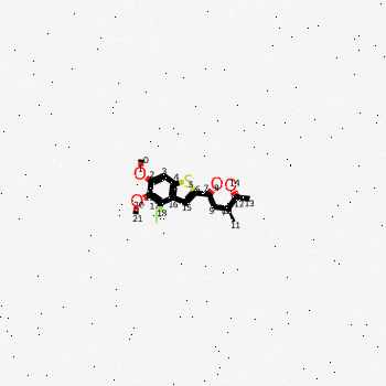 COc1cc2sc(C(=O)C[C@H](C)C(C)=O)cc2c(F)c1OC